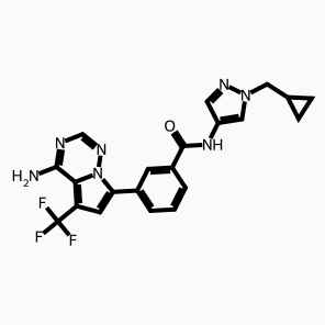 Nc1ncnn2c(-c3cccc(C(=O)Nc4cnn(CC5CC5)c4)c3)cc(C(F)(F)F)c12